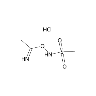 CC(=N)ONS(C)(=O)=O.Cl